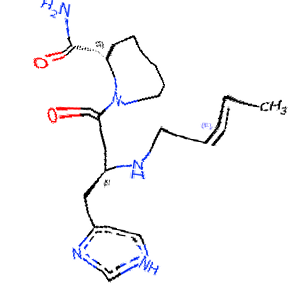 C/C=C/CN[C@@H](Cc1c[nH]cn1)C(=O)N1CCC[C@H]1C(N)=O